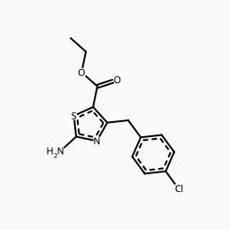 CCOC(=O)c1sc(N)nc1Cc1ccc(Cl)cc1